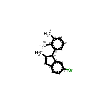 CC1=Cc2ccc(Br)cc2C1c1cccc(C)c1C